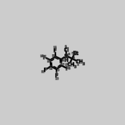 CCC(C)(C)[SiH](Cl)c1c(F)c(F)c(F)c(F)c1F